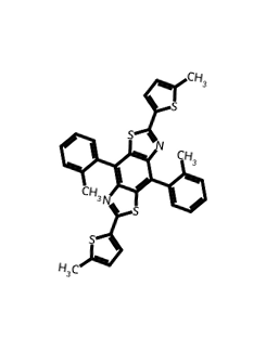 Cc1ccc(-c2nc3c(-c4ccccc4C)c4sc(-c5ccc(C)s5)nc4c(-c4ccccc4C)c3s2)s1